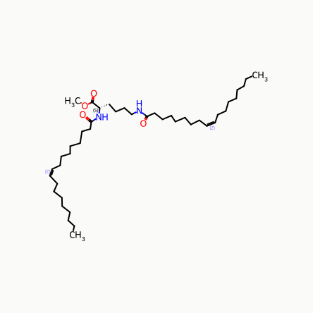 CCCCCCCC/C=C\CCCCCCCC(=O)NCCCC[C@H](NC(=O)CCCCCCC/C=C\CCCCCCCC)C(=O)OC